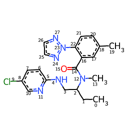 CCC(CNc1ccc(Cl)cn1)N(C)C(=O)c1cc(C)ccc1-n1nccn1